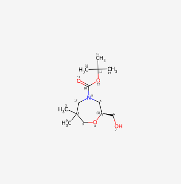 CC1(C)CO[C@H](CO)CN(C(=O)OC(C)(C)C)C1